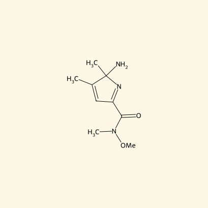 CON(C)C(=O)C1=NC(C)(N)C(C)=C1